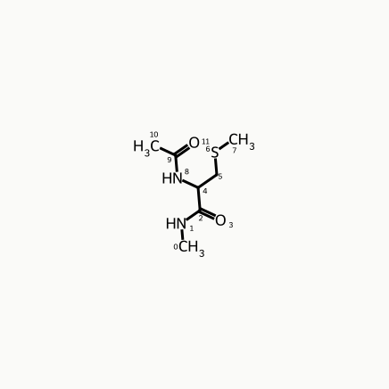 CNC(=O)C(CSC)NC(C)=O